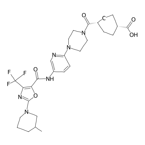 CC1CCCN(c2nc(C(F)(F)F)c(C(=O)Nc3ccc(N4CCN(C(=O)[C@H]5CC[C@@H](C(=O)O)CC5)CC4)nc3)o2)C1